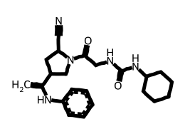 C=C(Nc1ccccc1)C1CC(C#N)N(C(=O)CNC(=O)NC2CCCCC2)C1